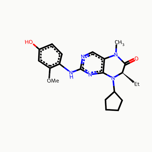 CC[C@@H]1C(=O)N(C)c2cnc(Nc3ccc(O)cc3OC)nc2N1C1CCCC1